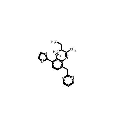 CCC(C)/C(C)=N\c1c(Cc2ncccn2)ccc(-c2nccs2)c1C